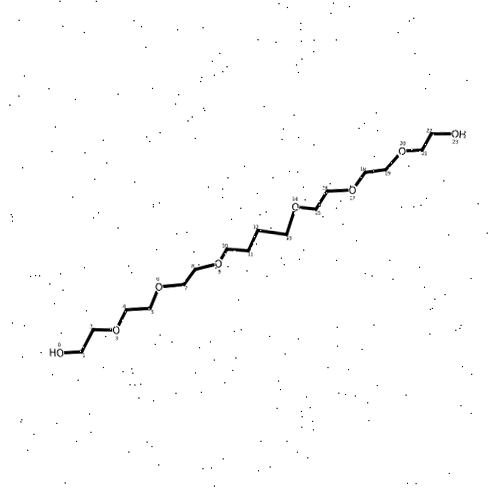 OCCOCCOCCOCCCCOCCOCCOCCO